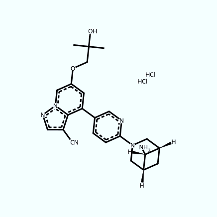 CC(C)(O)COc1cc(-c2ccc(N3C[C@H]4C[C@@H](C3)[C@H]4N)nc2)c2c(C#N)cnn2c1.Cl.Cl